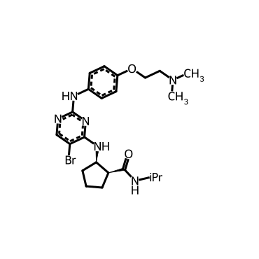 CC(C)NC(=O)[C@H]1CCC[C@H]1Nc1nc(Nc2ccc(OCCN(C)C)cc2)ncc1Br